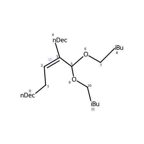 CCCCCCCCCCC/C=C(/CCCCCCCCCC)C(OCC(C)CC)OCC(C)CC